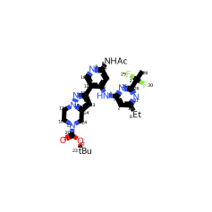 CCc1cc(Nc2cc(NC(C)=O)ncc2-c2cc3n(n2)CCN(C(=O)OC(C)(C)C)C3)nc(C(C)(F)F)n1